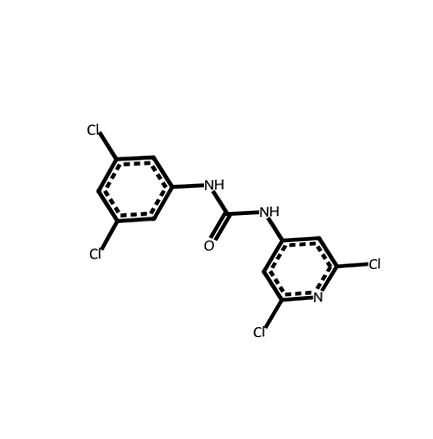 O=C(Nc1cc(Cl)cc(Cl)c1)Nc1cc(Cl)nc(Cl)c1